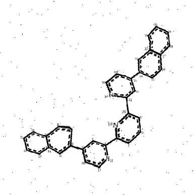 c1cc(-c2cc(-c3ccc4ccccc4c3)ccn2)nc(-c2cc(-c3ccc4ccccc4c3)ccn2)c1